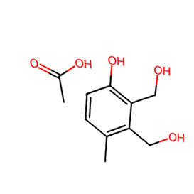 CC(=O)O.Cc1ccc(O)c(CO)c1CO